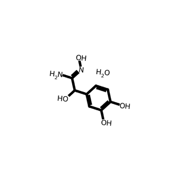 NC(=NO)C(O)c1ccc(O)c(O)c1.O